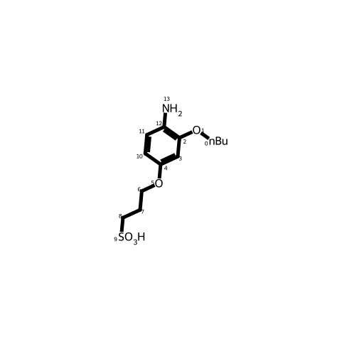 CCCCOc1cc(OCCCS(=O)(=O)O)ccc1N